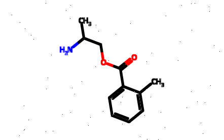 Cc1ccccc1C(=O)OCC(C)N